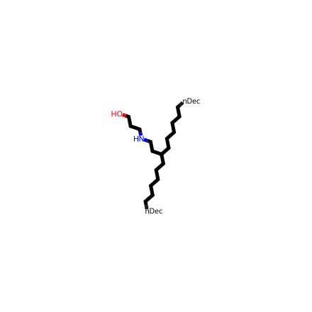 CCCCCCCCCCCCCCCCC(CCCCCCCCCCCCCCCC)CCNCCCO